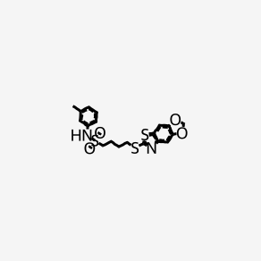 Cc1cccc(NS(=O)(=O)CCCCSc2nc3cc4c(cc3s2)OCO4)c1